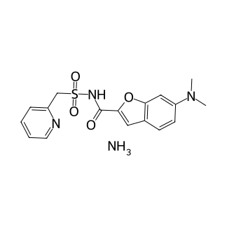 CN(C)c1ccc2cc(C(=O)NS(=O)(=O)Cc3ccccn3)oc2c1.N